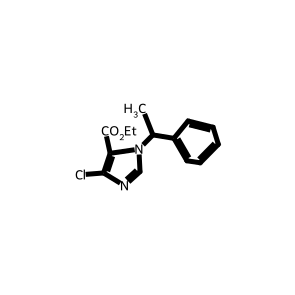 CCOC(=O)c1c(Cl)ncn1C(C)c1ccccc1